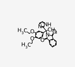 CCOc1ccc([C@](C)(c2ncc[nH]2)N2C(=O)c3ccccc3C2=O)cc1OCC